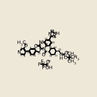 COc1cnccc1-c1ccc(C[C@@H](C(N)=O)N(c2ccc(-c3nn[nH]n3)cc2)C(=O)[C@H]2CC[C@H](CNC(=O)OC(C)(C)C)CC2)cc1.O=C(O)C(F)(F)F